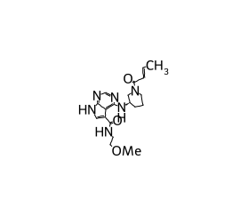 C/C=C/C(=O)N1CCC[C@@H](Nc2ncnc3[nH]cc(C(=O)NCCOC)c23)C1